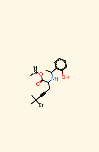 CCC(C)(C)C#CCC(NC(C)c1ccccc1O)C(=O)O[SiH](C)C